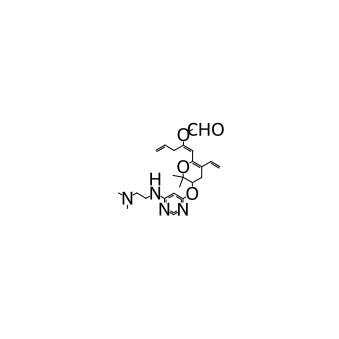 C=CC/C(=C\C1=C(C=C)CC(Oc2cc(NCCN(C)C)ncn2)C(C)(C)O1)OC=O